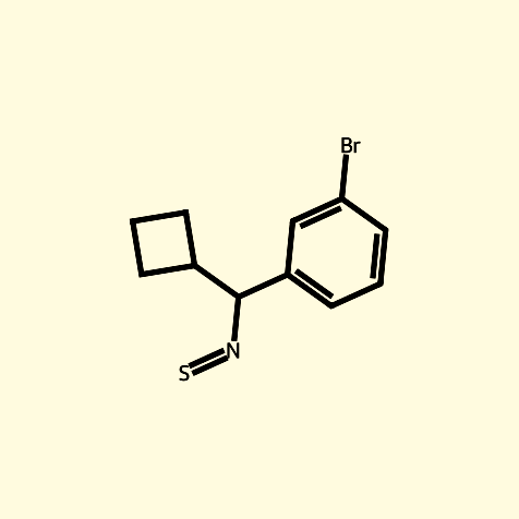 S=NC(c1cccc(Br)c1)C1CCC1